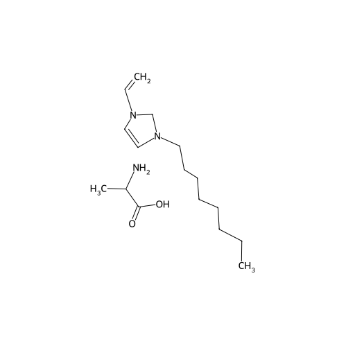 C=CN1C=CN(CCCCCCCC)C1.CC(N)C(=O)O